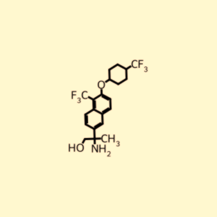 CC(N)(CO)c1ccc2c(C(F)(F)F)c(OC3CCC(C(F)(F)F)CC3)ccc2c1